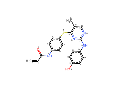 C=CC(=O)Nc1ccc(Sc2nc(Nc3ccc(O)cc3)ncc2C)cc1